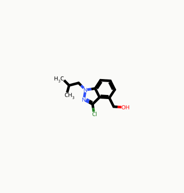 CC(C)Cn1nc(Cl)c2c(CO)cccc21